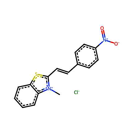 C[n+]1c(C=Cc2ccc([N+](=O)[O-])cc2)sc2ccccc21.[Cl-]